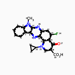 Cn1c2ccccc2c2nc3c(cc(F)c4c(=O)c(C(=O)O)cn(C5CC5)c43)nc21